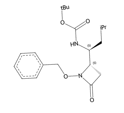 CC(C)C[C@H](NC(=O)OC(C)(C)C)[C@@H]1CC(=O)N1OCc1ccccc1